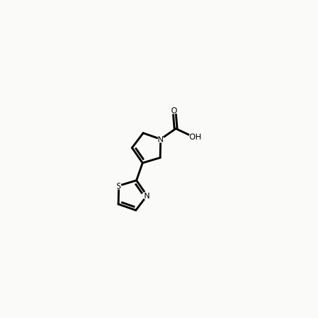 O=C(O)N1CC=C(c2nccs2)C1